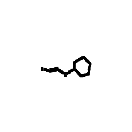 FC=COC1CCCCC1